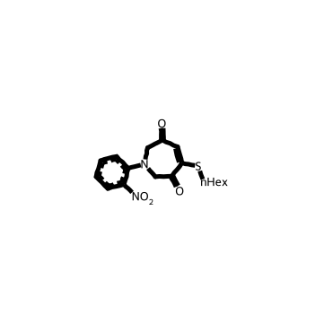 CCCCCCSC1=CC(=O)CN(c2ccccc2[N+](=O)[O-])CC1=O